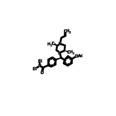 C=CCN1C[C@H](C)N([C@H](c2ccc(C(=O)N(CC)CC)cc2)c2cccc(OC(C)=O)c2)C[C@H]1C